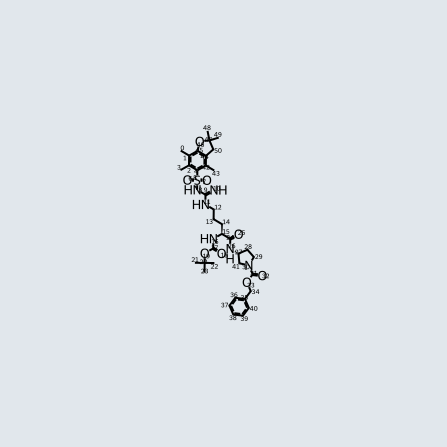 Cc1c(C)c(S(=O)(=O)NC(=N)NCCC[C@H](NC(=O)OC(C)(C)C)C(=O)N[C@@H]2CCN(C(=O)OCc3ccccc3)C2)c(C)c2c1OC(C)(C)C2